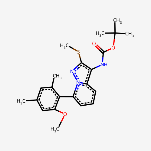 COc1cc(C)cc(C)c1-c1cccc2c(NC(=O)OC(C)(C)C)c(SC)nn12